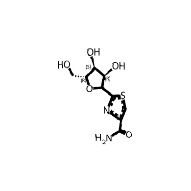 NC(=O)c1csc(C2O[C@H](CO)[C@@H](O)[C@H]2O)n1